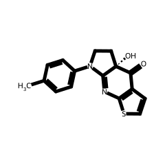 Cc1ccc(N2CC[C@@]3(O)C(=O)c4ccsc4N=C23)cc1